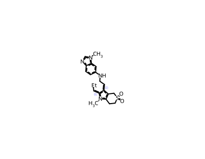 CC/C=c1\c(=C/CNc2ccc3ncn(C)c3c2)c2c(n1C)CCS(=O)(=O)C2